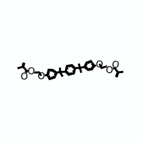 C=C(C)C(=O)OCCOc1ccc(C(C)(C)c2ccc(C(C)(C)c3ccc(OCCOC(=O)C(=C)C)cc3)cc2)cc1